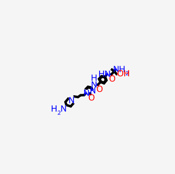 CC(N)(CO)C(=O)Nc1ccc(C(=O)Nc2ccn(CCCCN3CCC(N)CC3)c(=O)n2)cc1